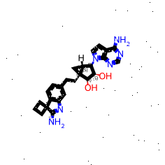 NC1=Nc2cc(CC[C@@]34C[C@@H]3[C@@H](n3ccc5c(N)ncnc53)[C@H](O)[C@@H]4O)ccc2C12CCC2